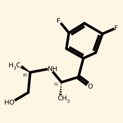 C[C@H](CO)N[C@@H](C)C(=O)c1cc(F)cc(F)c1